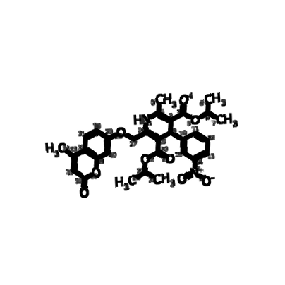 CC1=C(C(=O)OC(C)C)C(c2cccc([N+](=O)[O-])c2)C(C(=O)OC(C)C)=C(COc2ccc3c(C)cc(=O)oc3c2)N1